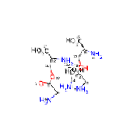 NCC(=O)O.NCC(=O)O.NCC(=O)OC[C@H](N)C(=O)O.N[C@@H](CO)C(=O)O